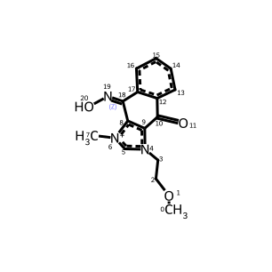 COCCn1c[n+](C)c2c1C(=O)c1ccccc1/C2=N/O